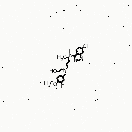 COc1ccc(CN(CCO)CCCC(C)Nc2ncnc3cc(Cl)ccc23)cc1F